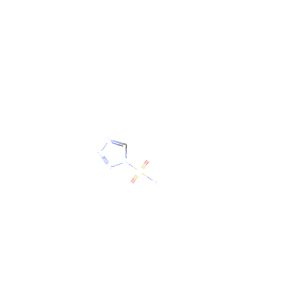 NS(=O)(=O)n1[c]nnn1